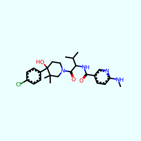 CNc1ccc(C(=O)NC(C(=O)N2CCC(O)(c3ccc(Cl)cc3)C(C)(C)C2)C(C)C)cn1